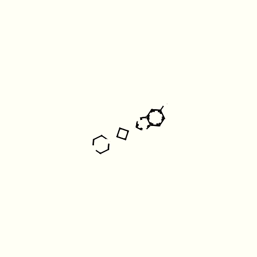 Brc1ccc2nc([C@H]3C[C@@H](N4CCOCC4)C3)sc2c1